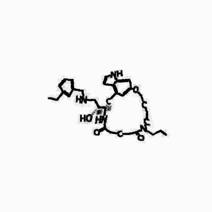 CCCN1CCCCOc2cc(c3cc[nH]c3c2)C[C@@H]([C@H](O)CNCc2cccc(CC)c2)NC(=O)CCCC1=O